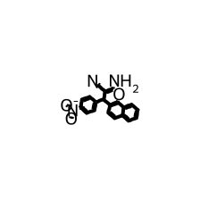 N#CC1=C(N)Oc2c(ccc3ccccc23)C1c1ccc([N+](=O)[O-])cc1